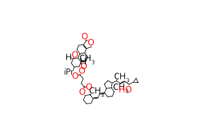 C=C1/C(=C\C=C2/CCC[C@@]3(C)C2CCC3[C@@H](C)/C=C/[C@@H](O)C2CC2)CCC[C@@H]1OC(=O)CCC(=O)O[C@@H]1C(C(C)C)C[C@@H]2O[C@]23[C@]12O[C@H]2CC1C2=C(CC[C@@]13C)C(=O)OC2